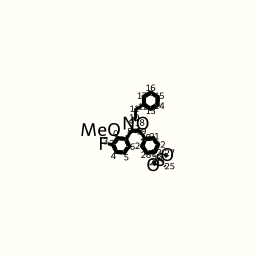 COc1c(F)cccc1-c1nc(Cc2ccccc2)oc1-c1ccc(S(C)(=O)=O)cc1